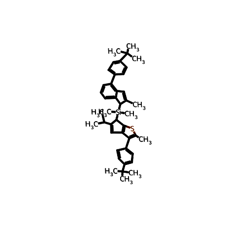 CC1=Cc2c(-c3ccc(C(C)(C)C)cc3)cccc2C1[Si](C)(C)C1C(C(C)C)=Cc2c1sc(C)c2-c1ccc(C(C)(C)C)cc1